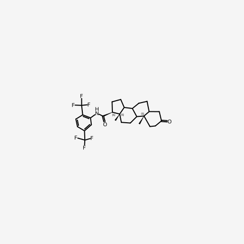 C[C@]12CCC(=O)CC1CCC1C2CC[C@@]2(C)C1CC[C@@H]2C(=O)Nc1cc(C(F)(F)F)ccc1C(F)(F)F